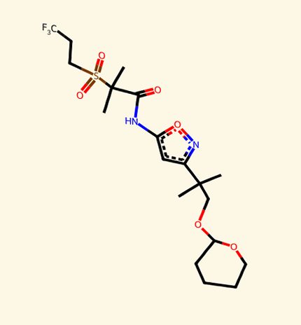 CC(C)(COC1CCCCO1)c1cc(NC(=O)C(C)(C)S(=O)(=O)CCC(F)(F)F)on1